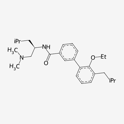 CCOc1c(CC(C)C)cccc1-c1cccc(C(=O)N[C@H](CC(C)C)CN(C)C)c1